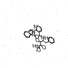 CONC(=O)C(=O)C(Cc1ccccc1)NC(=O)c1cccnc1-n1cc2ccccc2n1